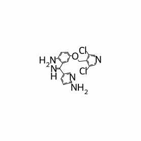 N=C(c1ccc(N)nc1)c1cc(OCc2c(Cl)cncc2Cl)ccc1N